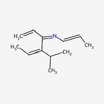 C=CC(=N/C=C/C)/C(=C\C)C(C)C